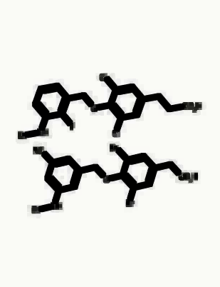 CCNc1cc(C#N)cc(COc2c(Br)cc(CC(=O)O)cc2Br)c1.CCNc1cccc(COc2c(Cl)cc(CCC(=O)O)cc2Cl)c1F